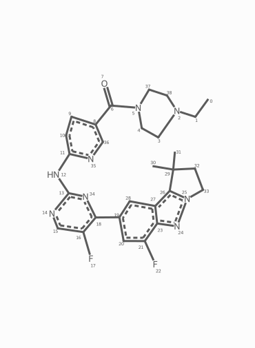 CCN1CCN(C(=O)c2ccc(Nc3ncc(F)c(-c4cc(F)c5nn6c(c5c4)C(C)(C)CC6)n3)nc2)CC1